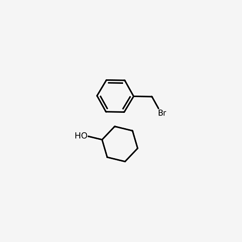 BrCc1ccccc1.OC1CCCCC1